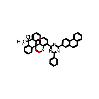 CC1(C)c2ccccc2C2(c3ccccc3Sc3c(-c4nc(-c5ccccc5)nc(-c5ccc6c(ccc7ccccc76)c5)n4)cccc32)c2ccccc21